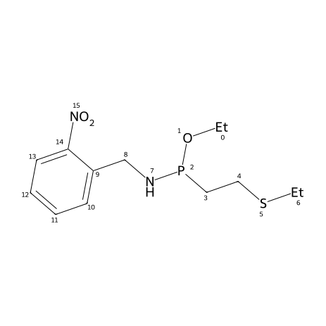 CCOP(CCSCC)NCc1ccccc1[N+](=O)[O-]